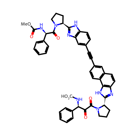 COC(=O)N[C@@H](C(=O)N1CCC[C@H]1c1nc2cc(C#Cc3ccc4c(ccc5nc([C@@H]6CCCN6C(=O)C(=O)[C@H](NC(=O)O)c6ccccc6)[nH]c54)c3)ccc2[nH]1)c1ccccc1